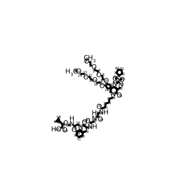 COCCOCCOCCOCCC1(CCOCCOCCOCCOC)CN(CCCCCC(=O)NCC(=O)NCC(=O)N[C@@H](Cc2ccccc2)C(=O)NCC(=O)NCO[C@H](C(=O)O)C2CC2)C(=O)c2cnc(S(=O)(=O)C3CCCC3)nc21